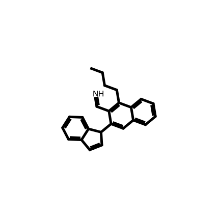 CCCCc1c(C=N)c(C2C=Cc3ccccc32)cc2ccccc12